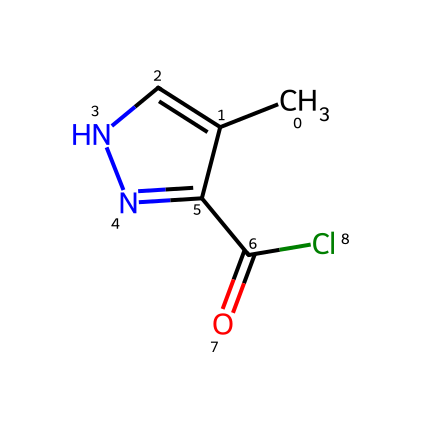 Cc1c[nH]nc1C(=O)Cl